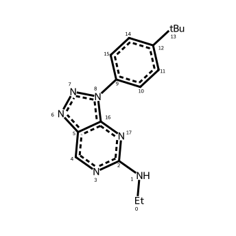 [CH2]CNc1ncc2nnn(-c3ccc(C(C)(C)C)cc3)c2n1